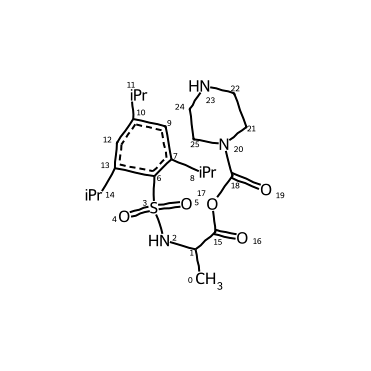 CC(NS(=O)(=O)c1c(C(C)C)cc(C(C)C)cc1C(C)C)C(=O)OC(=O)N1CCNCC1